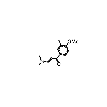 COc1ccc(C(=O)C=CN(C)C)cc1C